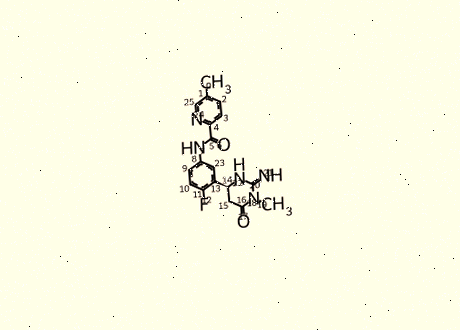 Cc1ccc(C(=O)Nc2ccc(F)c([C@@H]3CC(=O)N(C)C(=N)N3)c2)nc1